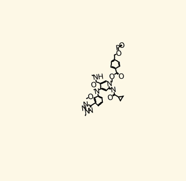 CNC(=O)c1cn(COC(=O)c2ccc(COP=O)cc2)/c(=N/C(=O)C2CC2)cc1N(C)c1cccc(-c2nnn(C)n2)c1OC